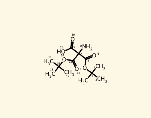 CC(C)(C)OC(=O)C(N)(C(=O)O)C(=O)OC(C)(C)C